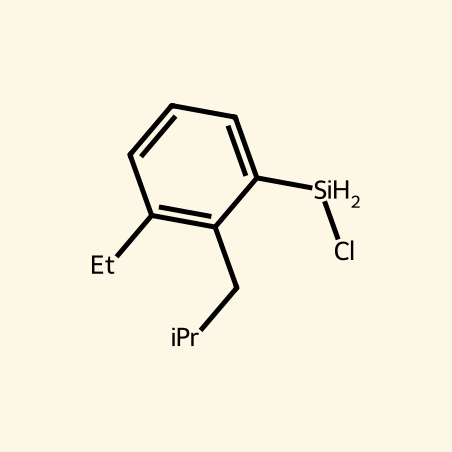 CCc1cccc([SiH2]Cl)c1CC(C)C